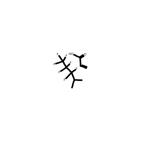 C=CC(=O)O.CC(C)C(F)(F)C(F)(F)C(F)(F)F